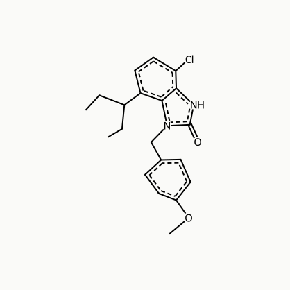 CCC(CC)c1ccc(Cl)c2[nH]c(=O)n(Cc3ccc(OC)cc3)c12